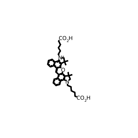 CC1(C)CN(CCCCCC(=O)O)c2c1c1c(c3ccccc23)C=c2c(c3c(c4ccccc24)=[N+](CCCCCC(=O)O)CC3(C)C)O1